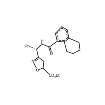 CCOC(=O)C1CC([C@@H](NC(=O)c2cccc3c2CCCC3)C(C)C)=NO1